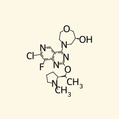 CC(Oc1nc(N2CCOC[C@@H](O)C2)c2cnc(Cl)c(F)c2n1)[C@@H]1CCCN1C